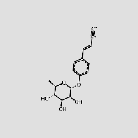 [C-]#[N+]/C=C/c1ccc(O[C@H]2O[C@H](C)[C@@H](O)[C@H](O)[C@@H]2O)cc1